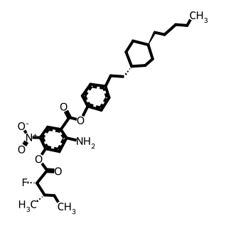 CCCCC[C@H]1CC[C@H](CCc2ccc(OC(=O)c3cc([N+](=O)[O-])c(OC(=O)[C@@H](F)[C@@H](C)CC)cc3N)cc2)CC1